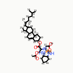 CC(=O)OCC(C(=O)O[C@H]1CC[C@@]2(C)C(=CCC3C2CC[C@@]2(C)C3CC[C@@H]2[C@H](C)CCCC(C)C)C1)N1CC(=O)O[PH]12NC1CCCCC1N2